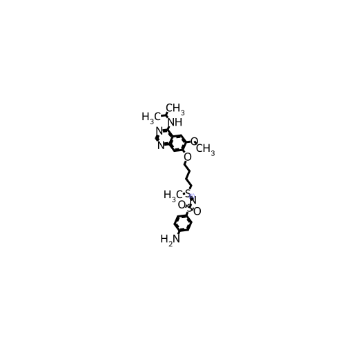 COc1cc2c(NC(C)C)ncnc2cc1OCCCC/S(C)=N/S(=O)(=O)c1ccc(N)cc1